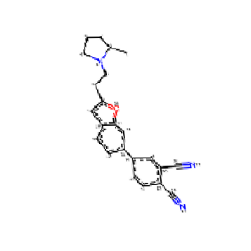 CC1CCCN1CCc1cc2ccc(-c3ccc(C#N)c(C#N)c3)cc2o1